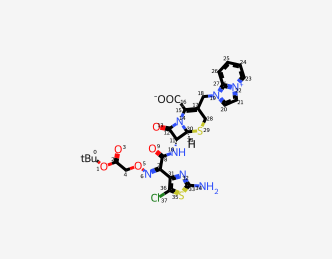 CC(C)(C)OC(=O)CO/N=C(\C(=O)N[C@@H]1C(=O)N2C(C(=O)[O-])=C(Cn3cc[n+]4ccccc34)CS[C@@H]12)c1nc(N)sc1Cl